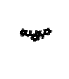 c1csc(CNc2ncnc3c2ncn3NC2CCCO2)c1